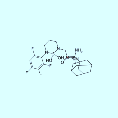 NC(=O)C12CC3CC(C1)C(NC(=O)CN1CCCN(c4c(F)cc(F)c(F)c4F)S1(O)O)C(C3)C2